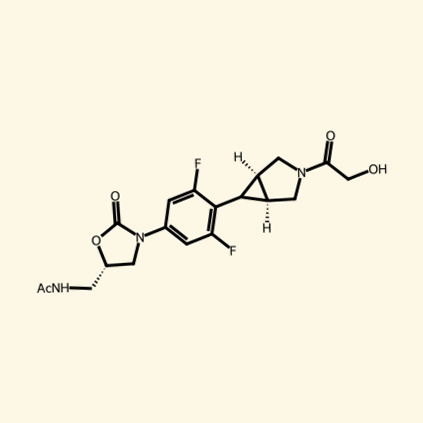 CC(=O)NC[C@H]1CN(c2cc(F)c(C3[C@H]4CN(C(=O)CO)C[C@@H]34)c(F)c2)C(=O)O1